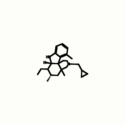 CCC1[C@@H](C)CC2(C)CN(CC3CC3)CCC23c2c(C)cccc2N[C@@H]13